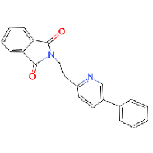 O=C1c2ccccc2C(=O)N1CCc1ccc(-c2ccccc2)cn1